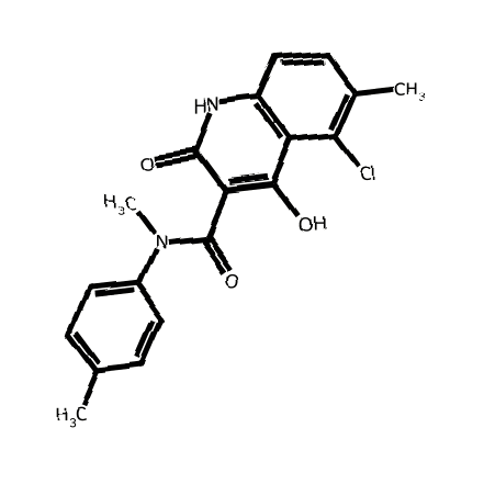 Cc1ccc(N(C)C(=O)c2c(O)c3c(Cl)c(C)ccc3[nH]c2=O)cc1